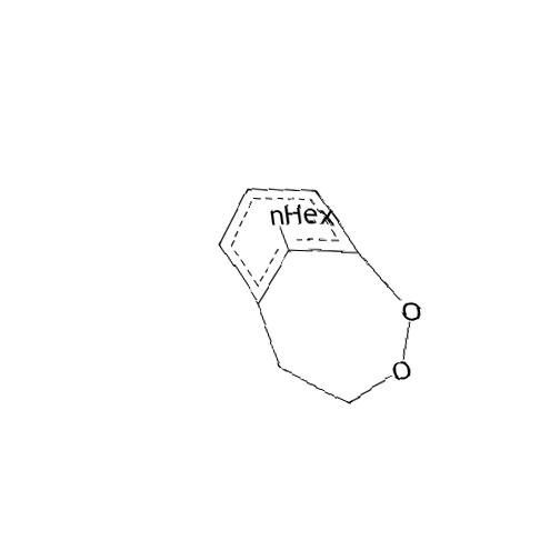 CCCCCCc1c2cccc1OOCC2